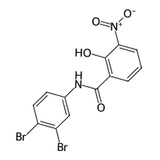 O=C(Nc1ccc(Br)c(Br)c1)c1cccc([N+](=O)[O-])c1O